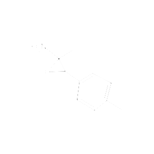 Cc1ccc(C2OC2(C)[N+](=O)[O-])cc1